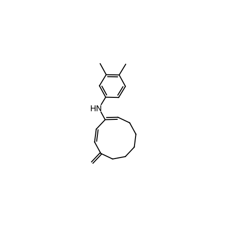 C=C1/C=C\C(Nc2ccc(C)c(C)c2)=C/CCCCC1